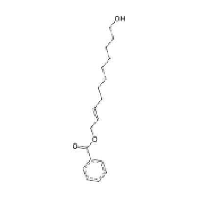 O=C(OC/C=C/CCCCCCCCO)c1ccccc1